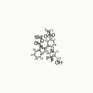 CN(C)S(=O)(=O)c1ccc(N2CC(CO)C(F)(F)C2)c(-c2cc3ccccc3n2C(=O)OC(C)(C)C)c1